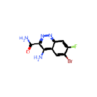 NC(=O)c1nnc2cc(F)c(Br)cc2c1N